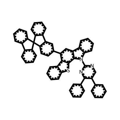 c1ccc(-c2cnc(-n3c4ccccc4c4cc(-c5ccc6c(c5)-c5ccccc5C65c6ccccc6-c6ccccc65)c5c6ccccc6sc5c43)nc2-c2ccccc2)cc1